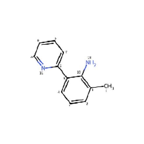 Cc1cccc(-c2ccccn2)c1N